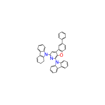 C1=Cc2c(n(-c3cc4c(oc5ccc(-c6ccccc6)cc54)c(-n4c5ccccc5c5ccccc54)n3)c3ccccc23)CC1